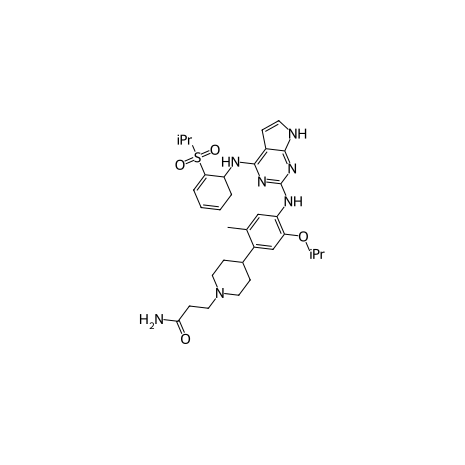 Cc1cc(Nc2nc(NC3CC=CC=C3S(=O)(=O)C(C)C)c3cc[nH]c3n2)c(OC(C)C)cc1C1CCN(CCC(N)=O)CC1